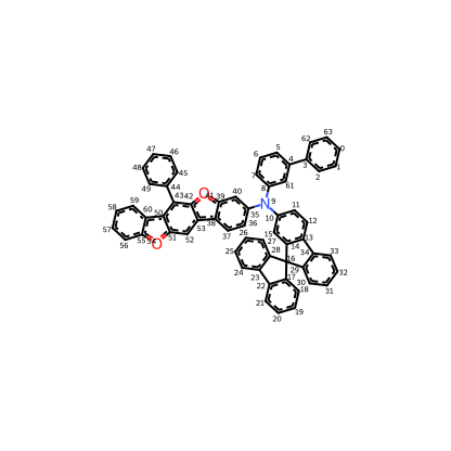 c1ccc(-c2cccc(N(c3ccc4c(c3)C3(c5ccccc5-c5ccccc53)c3ccccc3-4)c3ccc4c(c3)oc3c(-c5ccccc5)c5c(cc34)oc3ccccc35)c2)cc1